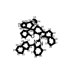 c1ccc2c(c1)Oc1c(ccc3c4ccc5ccccc5c4n(-c4nc(-c5ccc6ccccc6c5)c5ccccc5n4)c13)C21c2ccccc2-c2ccccc21